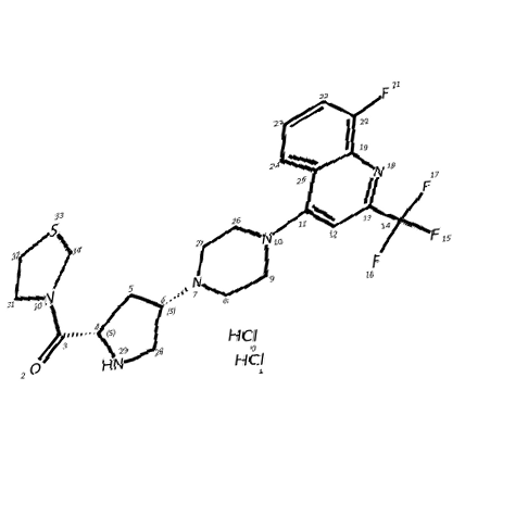 Cl.Cl.O=C([C@@H]1C[C@H](N2CCN(c3cc(C(F)(F)F)nc4c(F)cccc34)CC2)CN1)N1CCSC1